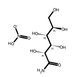 NC(=O)[C@H](O)[C@@H](O)[C@H](O)[C@H](O)CO.O=[N+]([O-])O